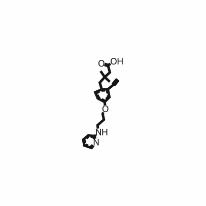 C#Cc1cc(OCCCNc2ccccn2)ccc1CC(C)(C)CC(=O)O